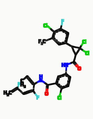 C=C(F)/C=C(F)\C(=C/C)NC(=O)c1cc(NC(=O)C2C(c3cc(F)c(Cl)c(C(F)(F)F)c3)C2(Cl)Cl)ccc1Cl